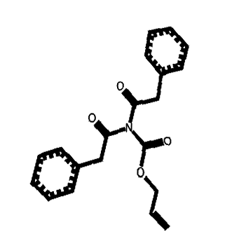 C=CCOC(=O)N(C(=O)Cc1ccccc1)C(=O)Cc1ccccc1